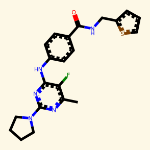 Cc1nc(N2CCCC2)nc(Nc2ccc(C(=O)NCc3cccs3)cc2)c1F